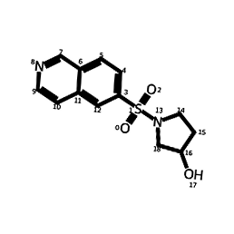 O=S(=O)(c1ccc2cnccc2c1)N1CCC(O)C1